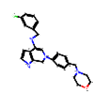 Clc1cccc(CNC2=CN(c3ccc(CN4CCOCC4)cc3)Cc3[nH]ccc32)c1